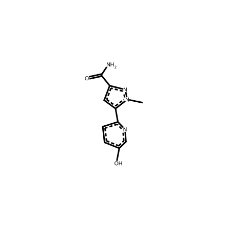 Cn1nc(C(N)=O)cc1-c1ccc(O)cn1